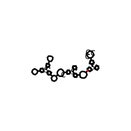 c1ccc([S+](c2ccc(C3CCCCCCCCC3)cc2)c2ccc(C3CCCCCC(c4cccc([S+](c5ccccc5)c5ccc(C6CCCCCC(C7CCCCCC(c8ccc([S+](c9ccc(C%10CCCCCCC%10)cc9)c9ccc(C%10CCCCCCC%10)cc9)cc8)C7)CCC6)cc5)c4)CCC3)cc2)cc1